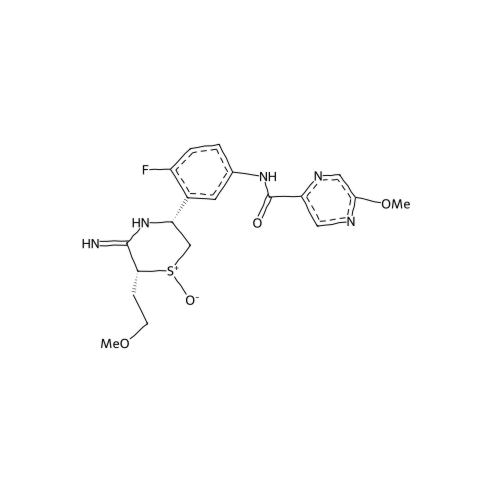 COCC[C@@H]1C(=N)N[C@H](c2cc(NC(=O)c3cnc(OC)cn3)ccc2F)C[S+]1[O-]